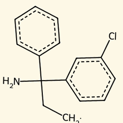 [CH2]CC(N)(c1ccccc1)c1cccc(Cl)c1